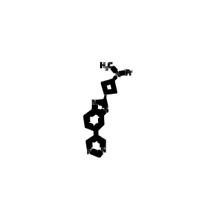 CC(C)N(C)[C@H]1C[C@H](c2nc3ccc(-c4cncnc4)cc3s2)C1